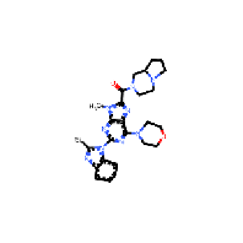 CCc1nc2ccccc2n1-c1nc(N2CCOCC2)c2nc(C(=O)N3CCN4CCCC4C3)n(C)c2n1